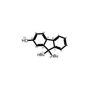 CCCCC1(CCCC)c2ccccc2-c2ccc(O)cc21